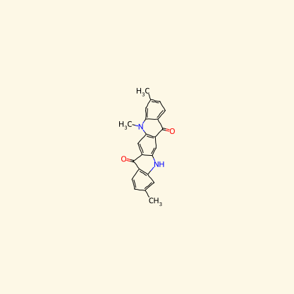 Cc1ccc2c(=O)c3cc4c(cc3[nH]c2c1)c(=O)c1ccc(C)cc1n4C